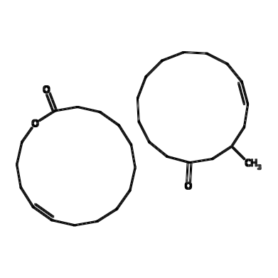 CC1CC=CCCCCCCCCCC(=O)C1.O=C1CCCCCCCCCC=CCCCO1